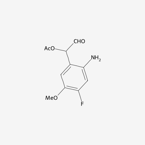 COc1cc(C(C=O)OC(C)=O)c(N)cc1F